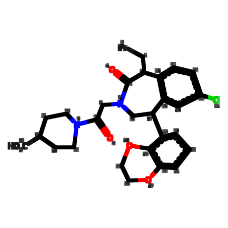 CC(C)CC1C(=O)N(CC(=O)N2CCC(C(=O)O)CC2)CC(c2cccc3c2OCCO3)c2cc(Cl)ccc21